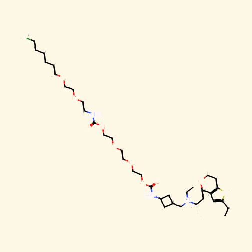 CCc1cc2c(s1)CCO[C@@]21CCN(CC2CC(NC(=O)OCCOCCOCCOC(=O)NCCOCCOCCCCCCCl)C2)[C@@H](C)C1